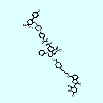 CC1(C)CCC(c2ccc(Cl)cc2)=C(CN2CCN(c3ccc(C(=O)NS(=O)(=O)c4ccc(N[C@H](CCN5CCN(CCCCOc6cccc7c6CN(C6CCC(=O)NC6=O)C7=O)CC5)CSc5ccccc5)c(S(=O)(=O)C(F)(F)F)c4)cc3)CC2)C1